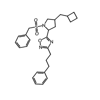 O=S(=O)(Cc1ccccc1)N1CC(CC2CCC2)CC1c1nc(CCCc2ccccc2)no1